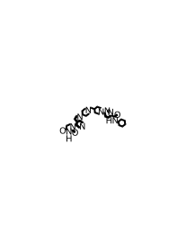 O=C1CCN(c2cncc3c2ccn3C2CCN(CC3CCN(c4ccc(C(=O)NC5CCCCC5)nn4)CC3)CC2)C(=O)N1